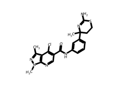 Cc1nn(C)c2ncc(C(=O)Nc3cccc(C4(C)CCSC(N)=N4)c3)c(Cl)c12